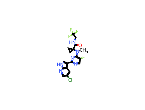 CN(c1nc(-c2c[nH]c3ncc(Cl)cc23)ncc1F)C1(C(=O)NCC(F)(F)F)CC1